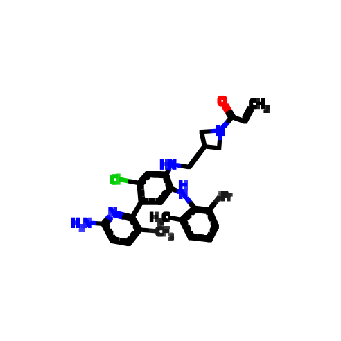 C=CC(=O)N1CC(CNc2cc(Cl)c(-c3nc(N)ccc3C(F)(F)F)cc2Nc2c(C)cccc2C(C)C)C1